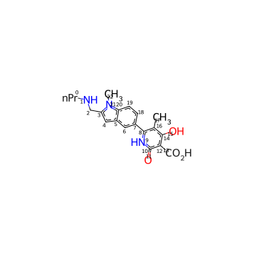 CCCNCc1cc2cc(-c3[nH]c(=O)c(C(=O)O)c(O)c3C)ccc2n1C